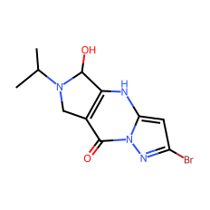 CC(C)N1Cc2c([nH]c3cc(Br)nn3c2=O)C1O